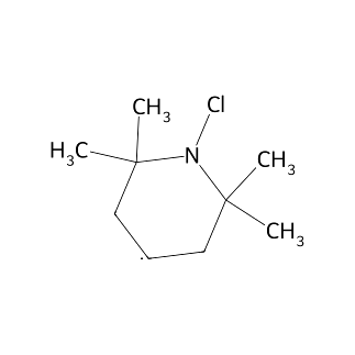 CC1(C)C[CH]CC(C)(C)N1Cl